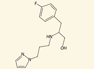 OCC(Cc1ccc(F)cc1)NCCCn1cccn1